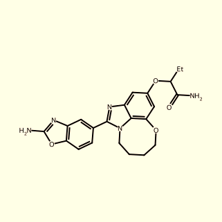 CCC(Oc1cc2c3c(c1)nc(-c1ccc4oc(N)nc4c1)n3CCCCO2)C(N)=O